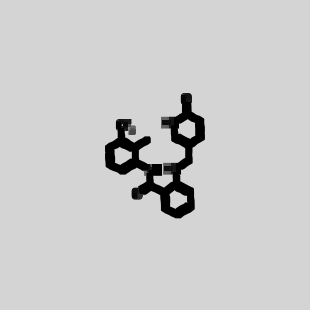 Cc1c(NC(=O)c2ccccc2NCc2ccc(=O)[nH]c2)cccc1C(F)(F)F